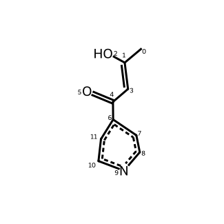 CC(O)=CC(=O)c1ccncc1